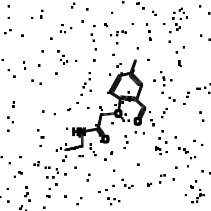 CCNC(=O)COc1ccc(C)cc1C=O